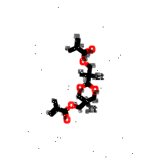 C=C(C)C(=O)OCC1(CC)COC(C(C)(CC)COC(=O)C(=C)C)OC1